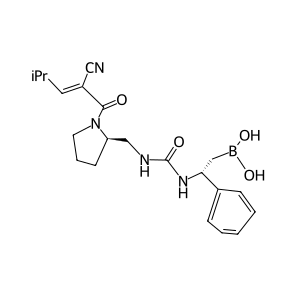 CC(C)C=C(C#N)C(=O)N1CCC[C@@H]1CNC(=O)N[C@H](CB(O)O)c1ccccc1